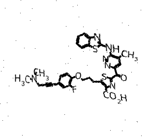 Cc1cc(C(=O)c2nc(C(=O)O)c(CCCOc3ccc(C#CCN(C)C)cc3F)s2)nnc1Nc1nc2ccccc2s1